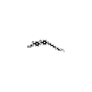 C=CCOCCCCCCOc1ccc(C(=O)Oc2ccc(C(=O)OCC(C)CC)cc2)cc1